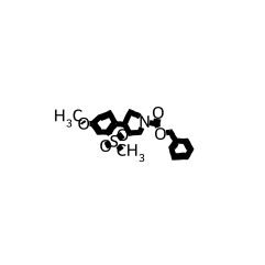 COc1ccc(C2CCN(C(=O)OCc3ccccc3)CC2)c(S(C)(=O)=O)c1